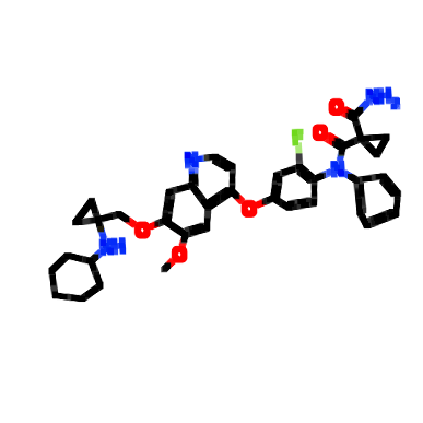 COc1cc2c(Oc3ccc(N(C(=O)C4(C(N)=O)CC4)c4ccccc4)c(F)c3)ccnc2cc1OCC1(NC2CCCCC2)CC1